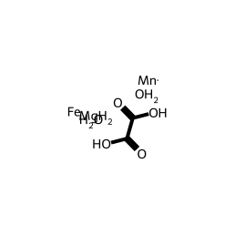 O.O.O=C(O)C(=O)O.[Fe].[MgH2].[Mn]